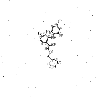 CCO[C@H](CO)CONC(=O)c1ccc(F)c(F)c1Nc1ccc(I)cc1F